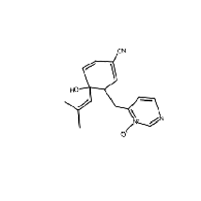 CC(C)=CC1(O)C=CC(C#N)=CC1Cc1ccnc[n+]1[O-]